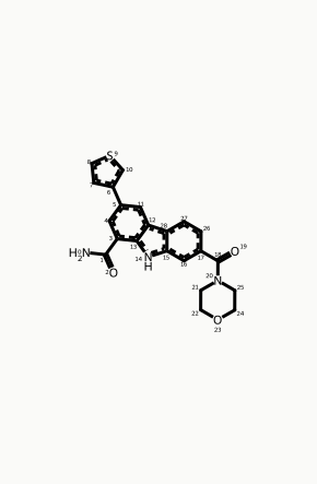 NC(=O)c1cc(-c2ccsc2)cc2c1[nH]c1cc(C(=O)N3CCOCC3)ccc12